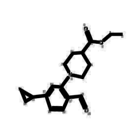 CCOC(=O)C1CCN(c2cc(C3CC3)ccc2C=O)CC1